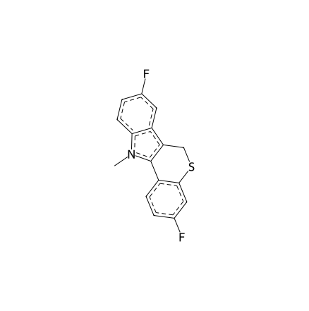 Cn1c2c(c3cc(F)ccc31)CSc1cc(F)ccc1-2